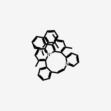 Cc1ccccc1-c1c(C)cc(C)c2c3ccccc3cc[n+]3ccccc3c3c(C)cc(C)c(-c4cccc[n+]4C)c3[n+]12